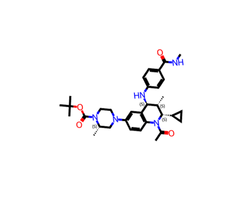 CNC(=O)c1ccc(N[C@@H]2c3cc(N4CCN(C(=O)OC(C)(C)C)[C@@H](C)C4)ccc3N(C(C)=O)[C@@H](C3CC3)[C@H]2C)cc1